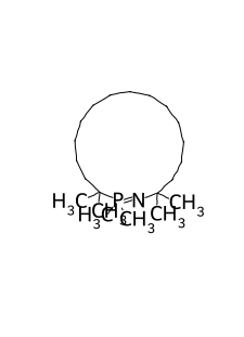 CC1(C)CCCCCCCCCCCCCC(C)(C)P(C)(C)=N1